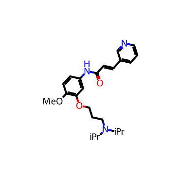 COc1ccc(NC(=O)/C=C/c2cccnc2)cc1OCCCN(C(C)C)C(C)C